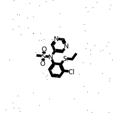 CCSc1c(Cl)cccc1N(c1cncnc1)S(C)(=O)=O